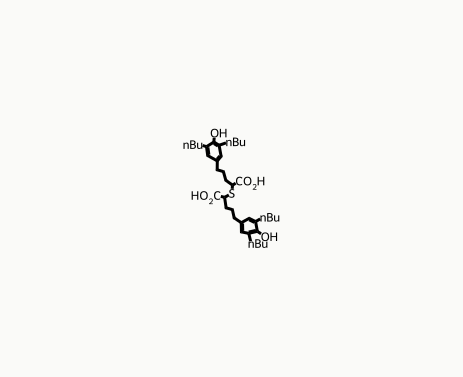 CCCCc1cc(CCCC(SC(CCCc2cc(CCCC)c(O)c(CCCC)c2)C(=O)O)C(=O)O)cc(CCCC)c1O